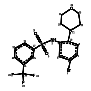 O=S(=O)(Nc1cc(Br)ccc1N1CCOCC1)c1cccc(C(F)(F)F)c1